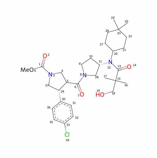 COC(=O)N1CC(C(=O)N2CC[C@H](N(C(=O)C(C)(C)CO)C3CCC(C)(C)CC3)C2)[C@H](c2ccc(Cl)cc2)C1